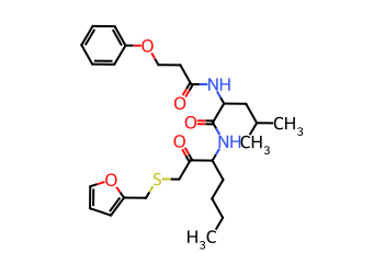 CCCCC(NC(=O)C(CC(C)C)NC(=O)CCOc1ccccc1)C(=O)CSCc1ccco1